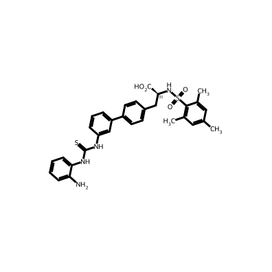 Cc1cc(C)c(S(=O)(=O)N[C@@H](Cc2ccc(-c3cccc(NC(=S)Nc4ccccc4N)c3)cc2)C(=O)O)c(C)c1